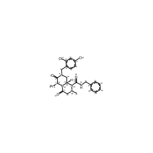 CC(C)[C@H]1C(=O)N(Cc2ccc(Cl)cc2Cl)C[C@H]2N1C(=O)CN(C)N2C(=O)NCc1ccccc1